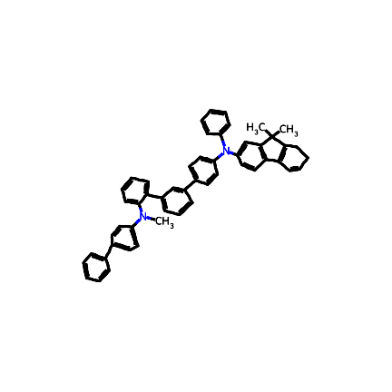 CN(c1ccc(-c2ccccc2)cc1)c1ccccc1-c1cccc(-c2ccc(N(c3ccccc3)c3ccc4c(c3)C(C)(C)C3=C4C=CCC3)cc2)c1